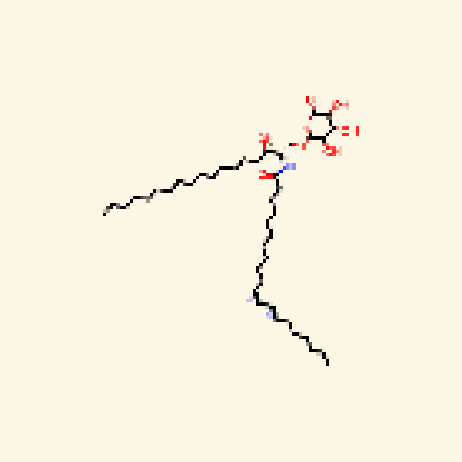 CCCCCC/C=C/C=C\CCCCCCCCCC(=O)N[C@@H](COC1OC(O)C(O)C(O)C1O)[C@H](O)CCCCCCCCCCCCCCC